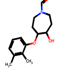 Cc1cccc(OC2CCN(C=O)CCC2O)c1C